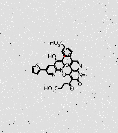 Cn1c(=O)c(C(=O)CCC(=O)O)c(On2c(=O)c(C(=O)CCC(=O)O)c(O)c3cc(-c4cccs4)cnc32)c2cc(-c3ccsc3)cnc21